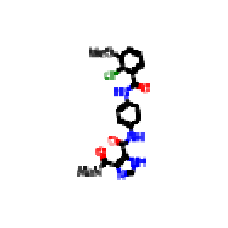 CNC(=O)c1nc[nH]c1C(=O)Nc1ccc(NC(=O)c2cccc(OC)c2Cl)cc1